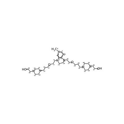 Cc1cnc2c(c1)N(CCOCCCN1CCN(CCO)CC1)CCN2CCOCCCN1CCN(CCO)CC1